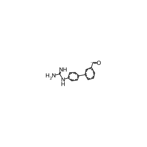 N=C(N)Nc1ccc(-c2cccc([C]=O)c2)cc1